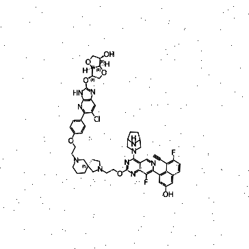 C#Cc1c(F)ccc2cc(O)cc(-c3ncc4c(N5CC6CCC(C5)N6)nc(OCCN5CC[C@@]6(CCCN(CCOc7ccc(-c8nc9[nH]c(O[C@@H]%10CO[C@H]%11[C@@H]%10OC[C@H]%11O)nc9cc8Cl)cc7)C6)C5)nc4c3F)c12